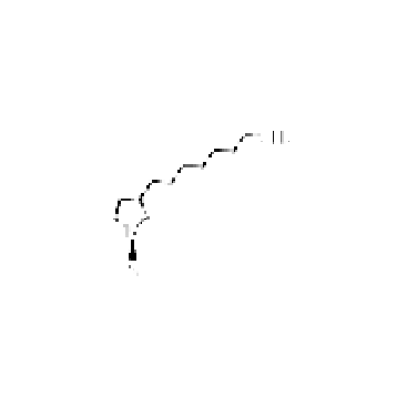 CCCCCCCCC1CCN(C#N)C1